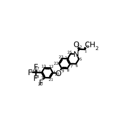 C=CC(=O)N1CCc2cc(Oc3ccc(C(F)(F)F)c(F)c3)ccc2C1